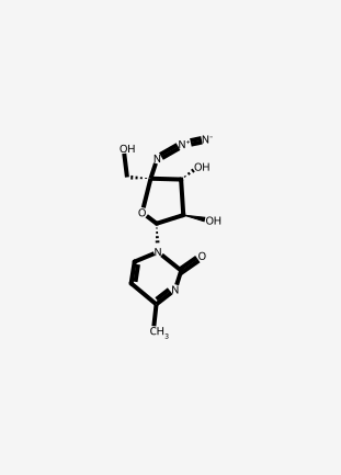 Cc1ccn([C@@H]2O[C@@](CO)(N=[N+]=[N-])[C@H](O)[C@H]2O)c(=O)n1